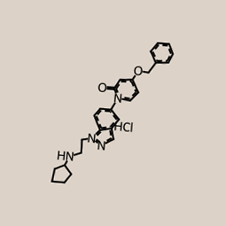 Cl.O=c1cc(OCc2ccccc2)ccn1-c1ccc2c(cnn2CCNC2CCCC2)c1